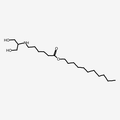 CCCCCCCCCCCOC(=O)CCCCCNC(CO)CO